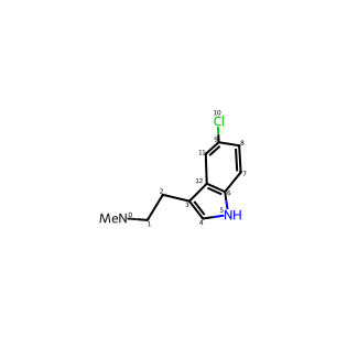 CNCCc1c[nH]c2ccc(Cl)cc12